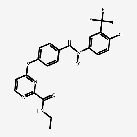 CCNC(=O)c1nccc(Sc2ccc(N[S+]([O-])c3ccc(Cl)c(C(F)(F)F)c3)cc2)n1